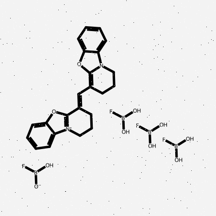 C(=C1CCC[n+]2c1oc1ccccc12)C1=C2Oc3ccccc3N2CCC1.OB(O)F.OB(O)F.OB(O)F.[O-]B(O)F